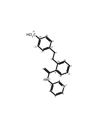 C=C(Nc1cccnc1)c1ccccc1CCc1ccc(C(=O)O)cc1